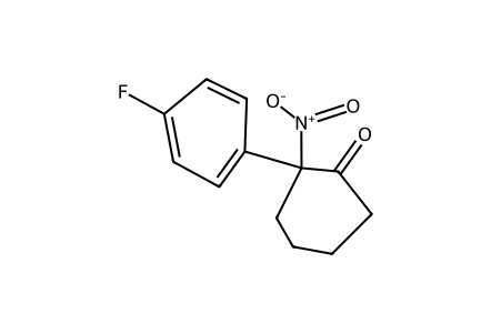 O=C1CCCCC1(c1ccc(F)cc1)[N+](=O)[O-]